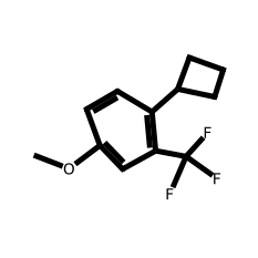 COc1ccc(C2CCC2)c(C(F)(F)F)c1